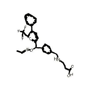 CC=NOC(c1ccc(CNCCC(=O)O)cc1)c1ccc(-c2ccccc2)c(C(F)(F)F)c1